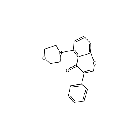 O=c1c(-c2ccccc2)coc2cccc(N3CCOCC3)c12